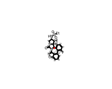 CCS(=O)(=O)N[C@@H]1CN2C(=O)N(c3noc4cccc(-c5c(F)cccc5F)c34)C[C@@H]2[C@@H]1F